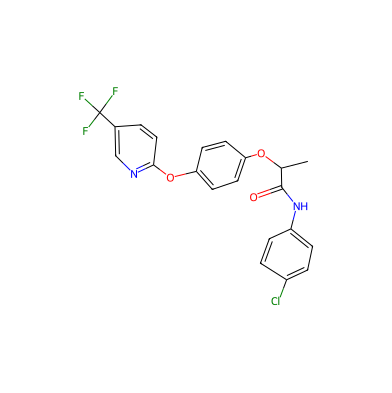 CC(Oc1ccc(Oc2ccc(C(F)(F)F)cn2)cc1)C(=O)Nc1ccc(Cl)cc1